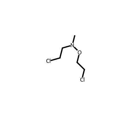 CN(CCCl)OCCCl